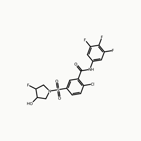 O=C(Nc1cc(F)c(F)c(F)c1)c1cc(S(=O)(=O)N2CC(O)C(F)C2)ccc1Cl